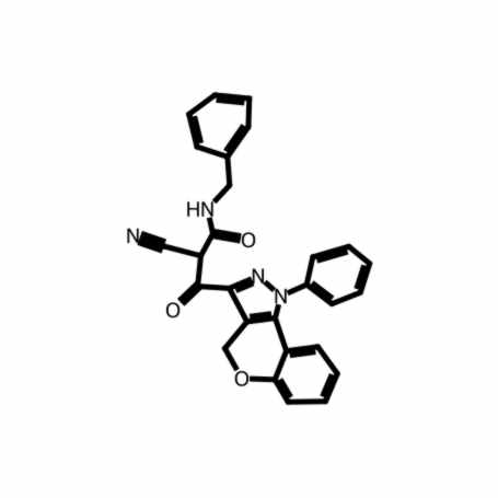 N#CC(C(=O)NCc1ccccc1)C(=O)c1nn(-c2ccccc2)c2c1COc1ccccc1-2